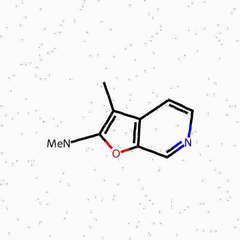 CNc1oc2cnccc2c1C